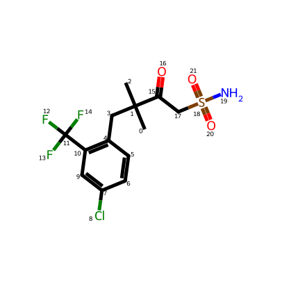 CC(C)(Cc1ccc(Cl)cc1C(F)(F)F)C(=O)CS(N)(=O)=O